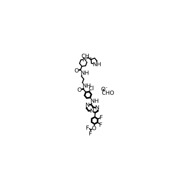 C[N+]1(CC2CCNC2)CCC(C(=O)NCCCNC(=O)c2ccc(Nc3nccn4c(-c5ccc(OC(F)F)c(F)c5F)cnc34)cc2Cl)CC1.O=C[O-]